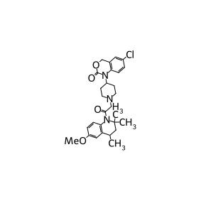 COc1ccc2c(c1)C(C)CC(C)(C)N2C(=O)CN1CCC(N2C(=O)OCc3cc(Cl)ccc32)CC1